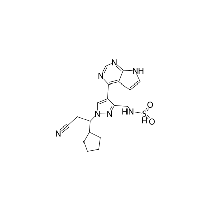 N#CCC(C1CCCC1)n1cc(-c2ncnc3[nH]ccc23)c(CN[SH](=O)=O)n1